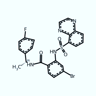 C[C@@H](NC(=O)c1ccc(Br)cc1NS(=O)(=O)c1cccc2nccnc12)c1ccc(F)cc1